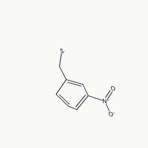 O=[N+]([O-])c1cccc(C[S])c1